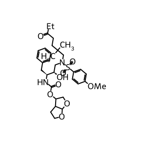 CCC(=O)CCC(C)(C)CN(C[C@@H](O)[C@H](Cc1ccccc1)NC(=O)OC1COC2OCCC12)S(=O)(=O)c1ccc(OC)cc1